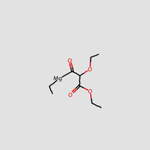 CCOC(=O)C(OCC)[C](=O)[Mg][CH2]C